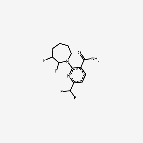 NC(=O)c1ccc(C(F)F)nc1N1CCCCC(F)C1F